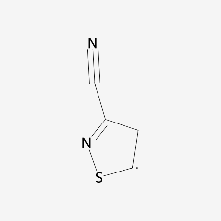 N#CC1=NS[CH]C1